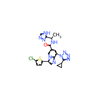 CC(NC(=O)c1cc(-n2nnnc2C2CC2)c2ncc(-c3ccc(Cl)s3)n2c1)c1nnc[nH]1